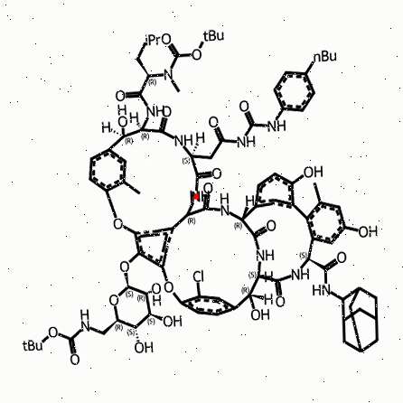 CCCCc1ccc(NC(=O)NC(=O)C[C@@H]2NC(=O)[C@H](NC(=O)[C@@H](CC(C)C)N(C)C(=O)OC(C)(C)C)[C@H](O)c3ccc(c(C)c3)Oc3cc4cc(c3O[C@@H]3O[C@H](CNC(=O)OC(C)(C)C)[C@@H](O)[C@H](O)[C@H]3O)Oc3ccc(cc3Cl)[C@@H](O)[C@@H]3NC(=O)[C@H](NC(=O)[C@@H]4NC2=O)c2ccc(O)c(c2)-c2c(C)cc(O)cc2[C@@H](C(=O)NC2C4CC5CC(C4)CC2C5)NC3=O)cc1